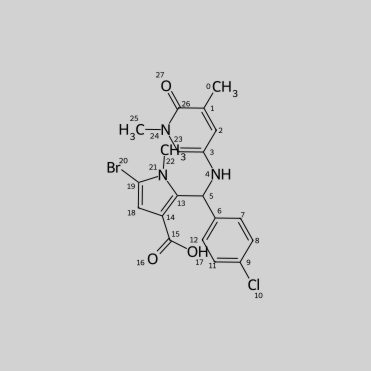 Cc1cc(NC(c2ccc(Cl)cc2)c2c(C(=O)O)cc(Br)n2C)cn(C)c1=O